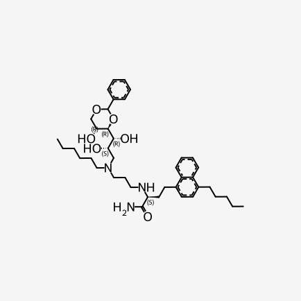 CCCCCCN(CCCN[C@@H](CCc1ccc(CCCCC)c2ccccc12)C(N)=O)C[C@H](O)[C@@H](O)[C@@H]1OC(c2ccccc2)OC[C@H]1O